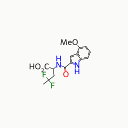 COc1cccc2[nH]c(C(=O)NC(CC(C)(F)F)C(=O)O)cc12